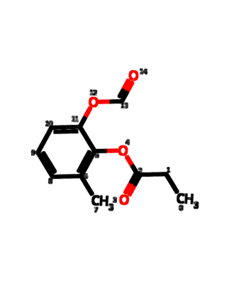 CCC(=O)Oc1c(C)cccc1OC=O